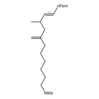 C=C(CCCCCCNC)CC(C)/C=C/CCCCC